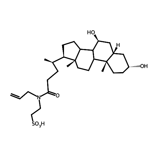 C=CCN(CCS(=O)(=O)O)C(=O)CC[C@@H](C)[C@H]1CCC2C3C(CC[C@@]21C)[C@@]1(C)CC[C@@H](O)C[C@H]1C[C@@H]3O